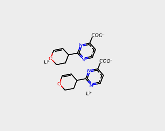 O=C([O-])c1ccnc(C2C=COCC2)n1.O=C([O-])c1ccnc(C2C=COCC2)n1.[Li+].[Li+]